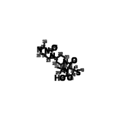 CSC(C)(C)[C@H](C(=O)N1CCC(N2Cc3cnc(C)n3C2=O)CC1)N(C(=O)O)C(C)(C)C